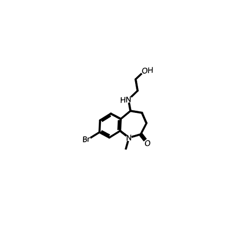 CN1C(=O)CCC(NCCO)c2ccc(Br)cc21